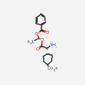 CC(OC(=O)c1ccccc1)OC(=O)C(N)[C@H]1CC[C@H](C(=O)O)CC1